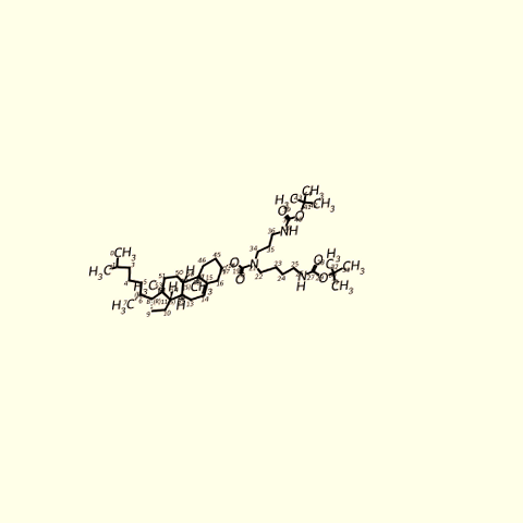 CC(C)CCC[C@@H](C)[C@H]1CC[C@H]2[C@@H]3CC=C4C[C@@H](OC(=O)N(CCCCNC(=O)OC(C)(C)C)CCCNC(=O)OC(C)(C)C)CC[C@]4(C)[C@H]3CC[C@]12C